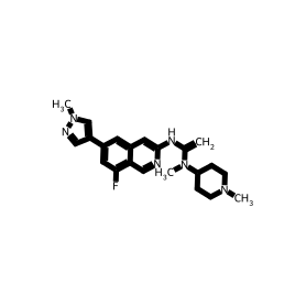 C=C(Nc1cc2cc(-c3cnn(C)c3)cc(F)c2cn1)N(C)C1CCN(C)CC1